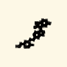 CC(C)N(CCc1ccc2c(c1)COC2=C1C(=O)Nc2ccc(F)cc21)C[C@H](O)CO